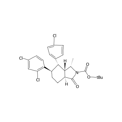 C[C@H]1[C@H]2[C@@H](c3ccc(Cl)cc3)[C@H](c3ccc(Cl)cc3Cl)CC[C@@H]2C(=O)N1C(=O)OC(C)(C)C